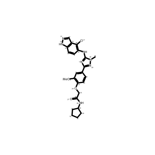 COc1cc(-c2nc(Nc3ccc4[nH]ncc4c3Cl)n(C)n2)ccc1OCC(=O)NC1CCCC1